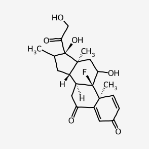 CC1C[C@H]2[C@@H]3CC(=O)C4=CC(=O)C=C[C@]4(C)[C@@]3(F)C(O)C[C@]2(C)[C@@]1(O)C(=O)CO